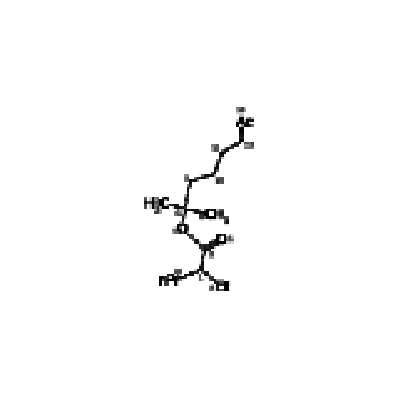 CCCC(CC)C(=O)OC(C)(C)CCCCC(C)=O